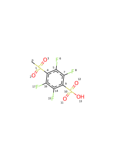 CS(=O)(=O)c1c(F)c(F)c(S(=O)(=O)O)c(F)c1F